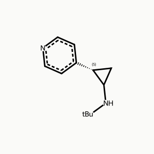 CC(C)(C)NC1C[C@H]1c1ccncc1